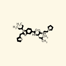 CCC(CC)n1c(Cc2cccs2)nc2cc(C(=O)N[C@@H](CC(C)C)C(=O)NCCN3CCCC3)ccc21